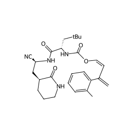 C=C(/C=C\OC(=O)N[C@@H](CC(C)(C)C)C(=O)N[C@H](C#N)C[C@@H]1CCCNC1=O)c1ccccc1C